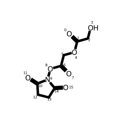 O=C(CO)OCC(=O)ON1C(=O)CCC1=O